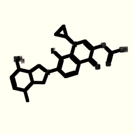 CC1C=CC(N)C2CN(c3ccc4c(=O)c(OC(=O)O)cn(C5CC5)c4c3F)CC12